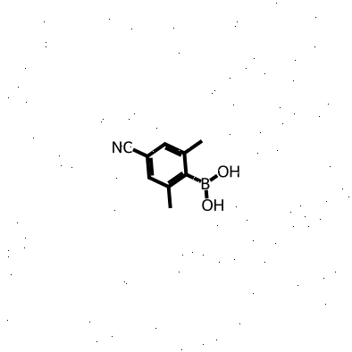 Cc1cc(C#N)cc(C)c1B(O)O